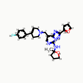 CC1(Nc2ncc(CN3CC=C(c4ccc(F)cc4)CC3)c3nc(-c4ccco4)nn23)CCCO1